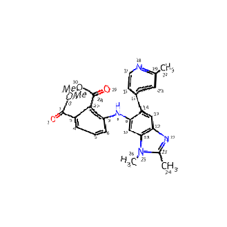 COC(=O)c1cccc(Nc2cc3c(cc2-c2ccnc(C)c2)nc(C)n3C)c1C(=O)OC